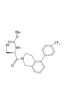 CC(C)C[C@@H](NC(=O)OC(C)(C)C)C(=O)N1CCc2c(cccc2-c2ccc(C(F)(F)F)cc2)C1